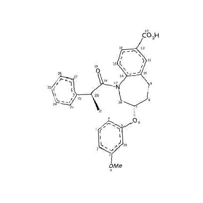 COc1cccc(O[C@H]2CCc3cc(C(=O)O)ccc3N(C(=O)[C@@H](C)c3ccccc3)C2)c1